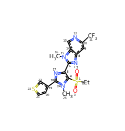 CCS(=O)(=O)c1c(-c2nc3cc(C(F)(F)F)ncc3n2C)nc(-c2ccsc2)n1C